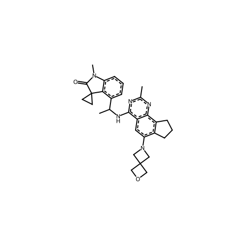 Cc1nc(NC(C)c2cccc3c2C2(CC2)C(=O)N3C)c2cc(N3CC4(COC4)C3)c3c(c2n1)CCC3